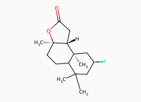 CC1(C)C[C@H](F)C[C@@]2(C)C1CC[C@@]1(C)OC(=O)C[C@@H]12